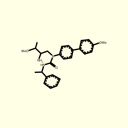 COc1ccc(-c2ccc(N(CC(N)C(C)OC)C(=O)NC(C)c3ccccc3)cc2)cc1